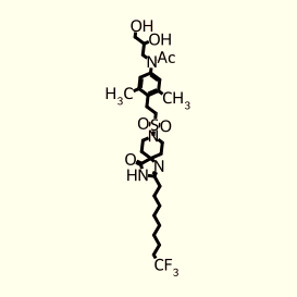 CC(=O)N(CC(O)CO)c1cc(C)c(CCS(=O)(=O)N2CCC3(CC2)N=C(CCCCCCCCC(F)(F)F)NC3=O)c(C)c1